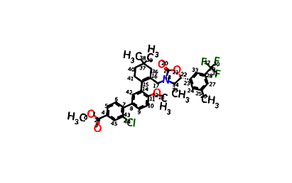 COC(=O)c1ccc(-c2ccc(OC)c(C3=C(CN4C(=O)O[C@H](c5cc(C)cc(C(F)(F)F)c5)[C@@H]4C)CC(C)(C)CC3)c2)c(Cl)c1